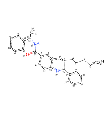 O=C(O)CCCCc1cc2cc(C(=O)N[C@@H](c3ccccc3)C(F)(F)F)ccc2nc1-c1ccccc1